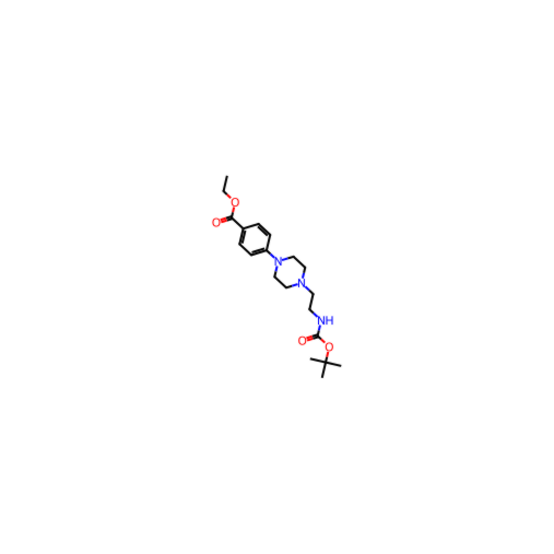 CCOC(=O)c1ccc(N2CCN(CCNC(=O)OC(C)(C)C)CC2)cc1